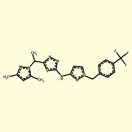 Cc1cc(C)n(C(C)c2nnc(Nc3ccn(Cc4ccc(C(F)(F)F)cc4)n3)s2)n1